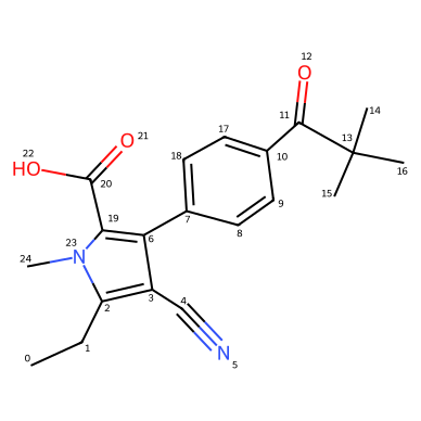 CCc1c(C#N)c(-c2ccc(C(=O)C(C)(C)C)cc2)c(C(=O)O)n1C